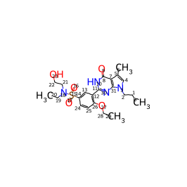 CCCn1cc(C)c2c(=O)[nH]c(-c3cc(S(=O)(=O)N(CC)CCO)ccc3OCC)nc21